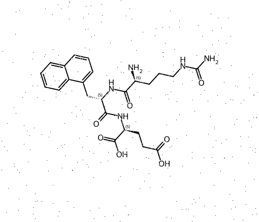 NC(=O)NCCC[C@H](N)C(=O)N[C@@H](Cc1cccc2ccccc12)C(=O)N[C@@H](CCC(=O)O)C(=O)O